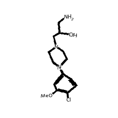 COc1cc(N2CCN(CC(O)CN)CC2)ccc1Cl